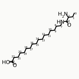 CCC(N)C(=O)NCCCCCCCCCCCCCCCCC(=O)O